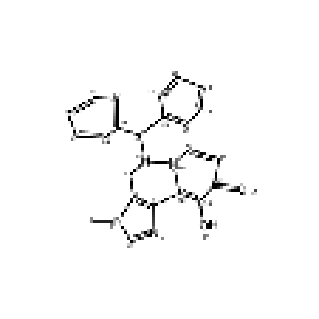 Cn1cnc2c1CN(C(c1ccccc1)c1ccccc1)n1ccc(=O)c(O)c1-2